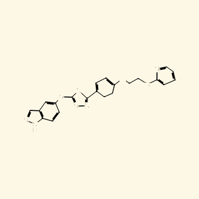 C1=C(OCCNc2ccccn2)CCC(c2nnc(Nc3ccc4[nH]ncc4c3)[nH]2)=C1